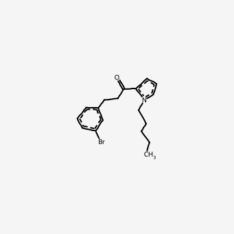 CCCCCn1cccc1C(=O)CCc1cccc(Br)c1